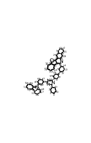 c1ccc(-c2nc(-c3ccc(-c4cccc(-c5nc6cc7ccccc7cc6c6oc7ccccc7c56)c4)cc3)nc(-c3cccc(-n4c5ccccc5c5ccccc54)c3)n2)cc1